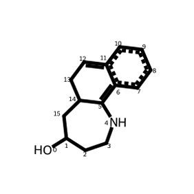 OC1CCNC2=c3ccccc3=CCC2C1